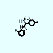 CC1CCC(C(NC(=O)O)c2nc3c(F)cccc3[nH]2)CC1